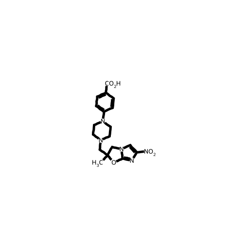 CC1(CN2CCN(c3ccc(C(=O)O)cc3)CC2)Cn2cc([N+](=O)[O-])nc2O1